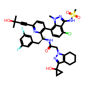 Cn1nc(NS(C)(=O)=O)c2c(Cl)ccc(-c3ccc(C#CC(C)(C)O)nc3[C@H](Cc3cc(F)cc(F)c3)NC(=O)Cn3nc(C4(O)CC4)c4c3CCCC4)c21